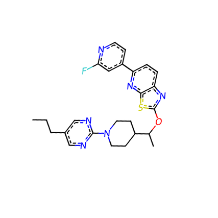 CCCc1cnc(N2CCC(C(C)Oc3nc4ccc(-c5ccnc(F)c5)nc4s3)CC2)nc1